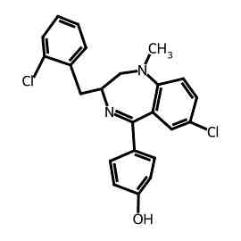 CN1CC(Cc2ccccc2Cl)N=C(c2ccc(O)cc2)c2cc(Cl)ccc21